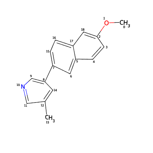 COc1ccc2cc(-c3cncc(C)c3)ccc2c1